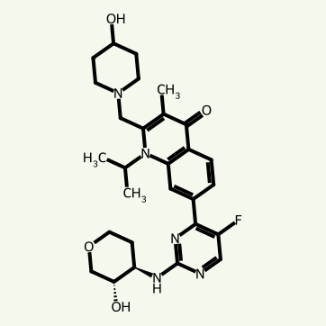 Cc1c(CN2CCC(O)CC2)n(C(C)C)c2cc(-c3nc(N[C@@H]4CCOC[C@H]4O)ncc3F)ccc2c1=O